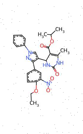 CCOc1ccc(-c2nn(-c3ccccc3)cc2C2NC(=O)NC(C)=C2C(=O)OC(C)C)cc1[N+](=O)[O-]